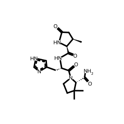 C[C@@H]1CC(=O)N[C@@H]1C(=O)N[C@@H](Cc1c[nH]cn1)C(=O)N1CCC(C)(C)[C@H]1C(N)=O